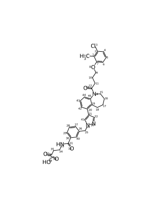 Cc1c(Cl)cccc1OCCCC(=O)N1CCCCc2c(-c3cnn(Cc4cccc(C(=O)NCCS(=O)(=O)O)c4)c3)cccc21